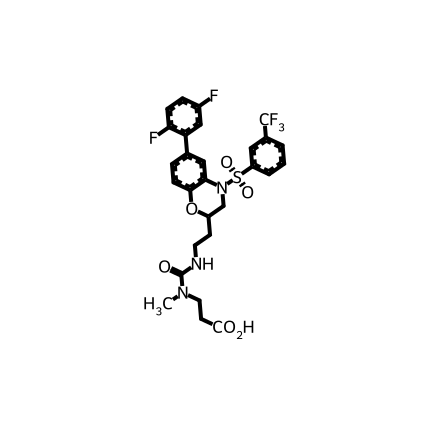 CN(CCC(=O)O)C(=O)NCCC1CN(S(=O)(=O)c2cccc(C(F)(F)F)c2)c2cc(-c3cc(F)ccc3F)ccc2O1